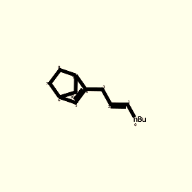 CCCCC=CCC1=[C]C2CCC1C2